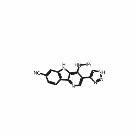 CC(C)Nc1c(-c2c[nH]nn2)cnc2c1[nH]c1cc(C#N)ccc12